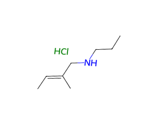 C/C=C(\C)CNCCC.Cl